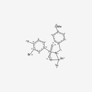 [2H]C([2H])([2H])N(Cc1ccc(OC)cc1)S(=O)(=O)c1ccc(F)c(Br)c1